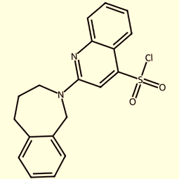 O=S(=O)(Cl)c1cc(N2CCCc3ccccc3C2)nc2ccccc12